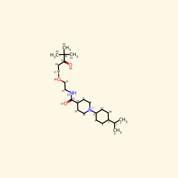 CC(C)C1CCC(N2CCC(C(=O)NCC[O][Y][CH2]C(=O)C(C)(C)C)CC2)CC1